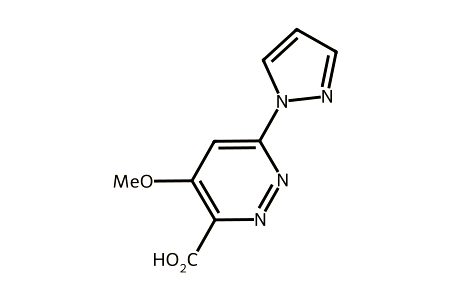 COc1cc(-n2cccn2)nnc1C(=O)O